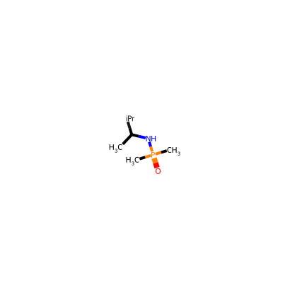 CC(C)C(C)NP(C)(C)=O